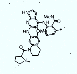 CNC(=O)c1c(F)cccc1Nc1nc(Nc2cc3c(cc2OC)CCCN3C(=O)C2CCCN2C)nc2[nH]ccc12